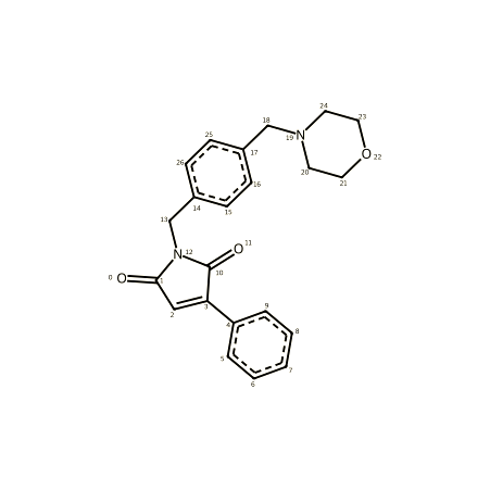 O=C1C=C(c2ccccc2)C(=O)N1Cc1ccc(CN2CCOCC2)cc1